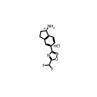 Cl.N[C@@H]1CCc2cc(-c3noc(C(F)F)n3)ccc21